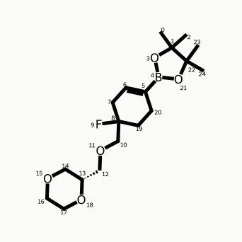 CC1(C)OB(C2=CCC(F)(COC[C@H]3COCCO3)CC2)OC1(C)C